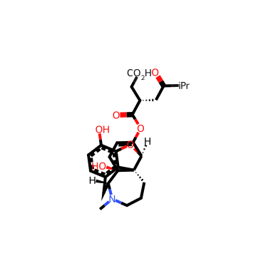 CC(C)C(=O)C[C@@H](CC(=O)O)C(=O)OC1=CC[C@@]2(O)[C@H]3Cc4ccc(O)c5c4[C@@]2(CCCN3C)[C@H]1O5